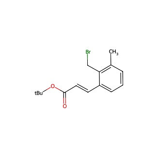 Cc1cccc(/C=C/C(=O)OC(C)(C)C)c1CBr